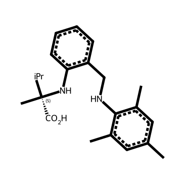 Cc1cc(C)c(NCc2ccccc2N[C@](C)(C(=O)O)C(C)C)c(C)c1